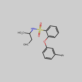 CC(C)c1cccc(Oc2ccccc2S(=O)(=O)NC(CC=O)C(=O)O)c1